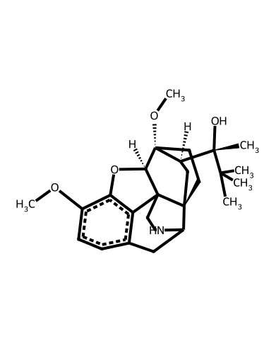 COc1ccc2c3c1O[C@@H]1C34CCNC(C2)[C@]42CC[C@@]1(OC)[C@@H]([C@](C)(O)C(C)(C)C)C2